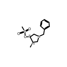 C[C@@H]1CN(Cc2ccccc2)C[C@@H]1OS(C)(=O)=O